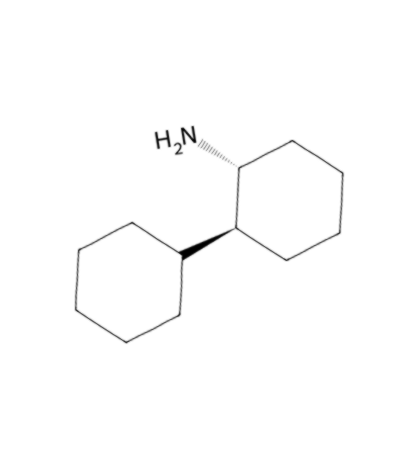 N[C@@H]1CCCC[C@H]1C1CCCCC1